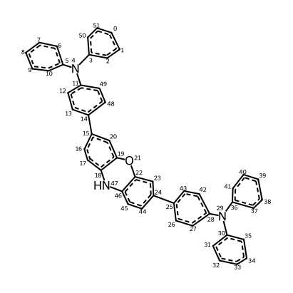 c1ccc(N(c2ccccc2)c2ccc(-c3ccc4c(c3)Oc3cc(-c5ccc(N(c6ccccc6)c6ccccc6)cc5)ccc3N4)cc2)cc1